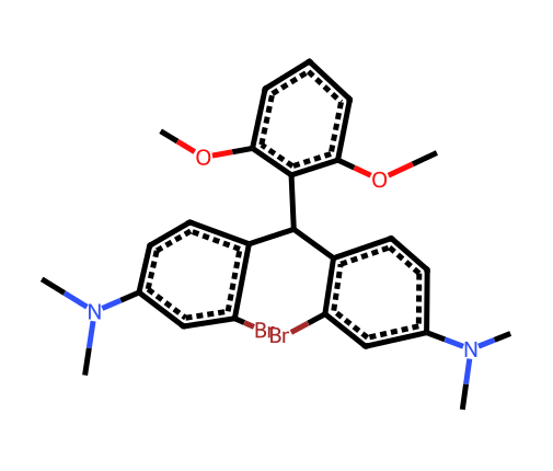 COc1cccc(OC)c1C(c1ccc(N(C)C)cc1Br)c1ccc(N(C)C)cc1Br